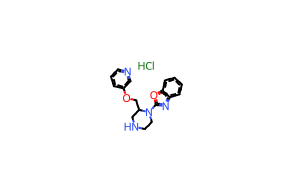 Cl.c1cncc(OCC2CNCCN2c2nc3ccccc3o2)c1